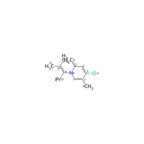 C=C1C=C(Cl)C(C)=CN1C(=C(C)C)C(C)C